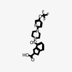 O=C(O)C1Cc2cccc([S+]([O-])N3CCN(c4ccc(OC(F)(F)F)cn4)CC3)c2C1